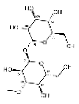 CO[C@@H]1[C@@H](O)[C@@H](O[C@H]2O[C@H](CO)[C@@H](O)[C@H](O)[C@H]2O)O[C@H](CO)[C@H]1O